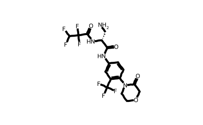 NC[C@@H](NC(=O)C(F)(F)C(F)F)C(=O)Nc1ccc(N2CCOCC2=O)c(C(F)(F)F)c1